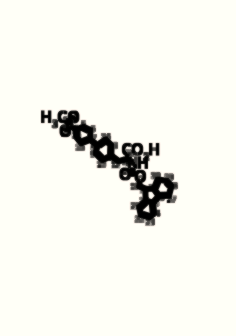 CS(=O)(=O)c1ccc(-c2ccc(C[C@H](NC(=O)OCC3c4ccccc4-c4ccccc43)C(=O)O)cc2)cc1